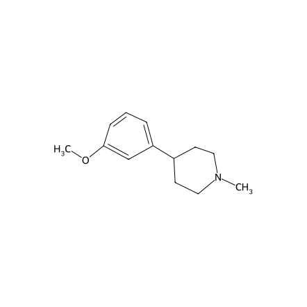 COc1cccc(C2CCN(C)CC2)c1